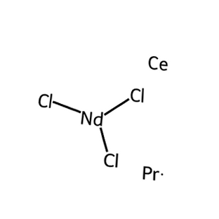 [Ce].[Cl][Nd]([Cl])[Cl].[Pr]